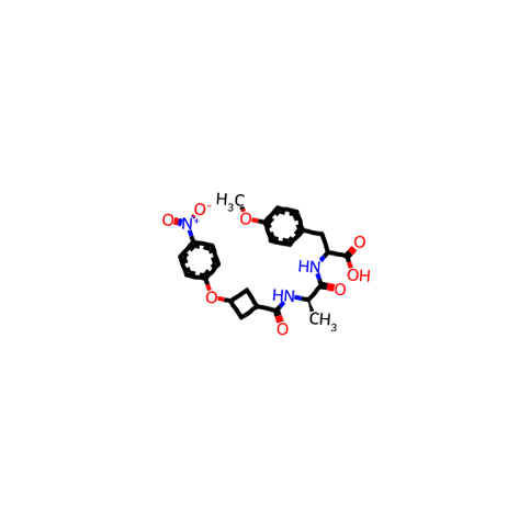 COc1ccc(CC(NC(=O)[C@@H](C)NC(=O)C2CC(Oc3ccc([N+](=O)[O-])cc3)C2)C(=O)O)cc1